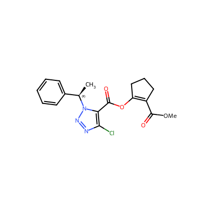 COC(=O)C1=C(OC(=O)c2c(Cl)nnn2[C@H](C)c2ccccc2)CCC1